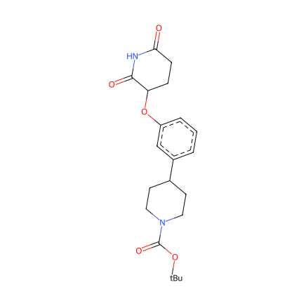 CC(C)(C)OC(=O)N1CCC(c2cccc(OC3CCC(=O)NC3=O)c2)CC1